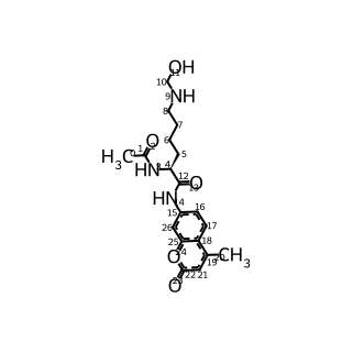 CC(=O)N[C@@H](CCCCNCO)C(=O)Nc1ccc2c(C)cc(=O)oc2c1